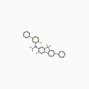 Cc1ccc(-c2ccccc2)cc1N(c1cc2c(cc1C)-c1ccc(-c3ccccc3)cc1C2(C)C)C(C)C